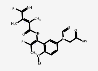 CCCC(=N)/C(C)=C(\C)C(=O)N/C(=C(/C)CC)c1cc(N(C=S)CC(=O)CCC)ccc1OCC